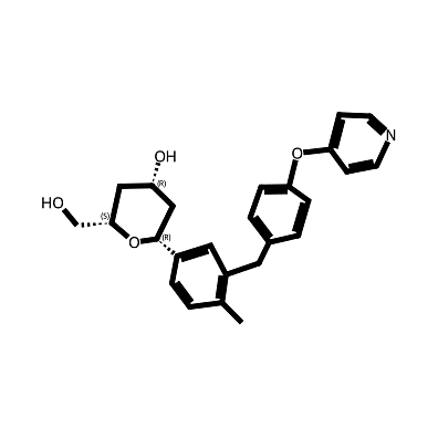 Cc1ccc([C@H]2C[C@@H](O)C[C@@H](CO)O2)cc1Cc1ccc(Oc2ccncc2)cc1